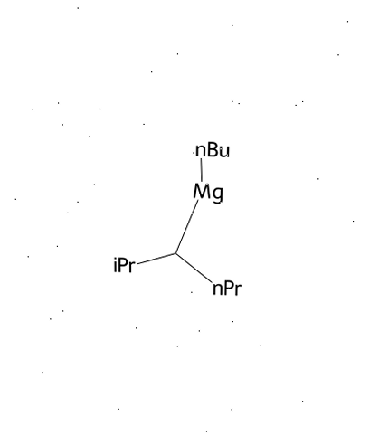 CCC[CH2][Mg][CH](CCC)C(C)C